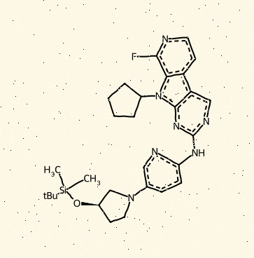 CC(C)(C)[Si](C)(C)O[C@@H]1CCN(c2ccc(Nc3ncc4c5ccnc(F)c5n(C5CCCC5)c4n3)nc2)C1